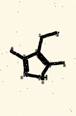 [CH2]Cc1c(C)n[nH]c1C